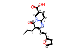 CCCc1c(/C=C/c2ccco2)nc2ccc(C(=O)O)cn2c1=O